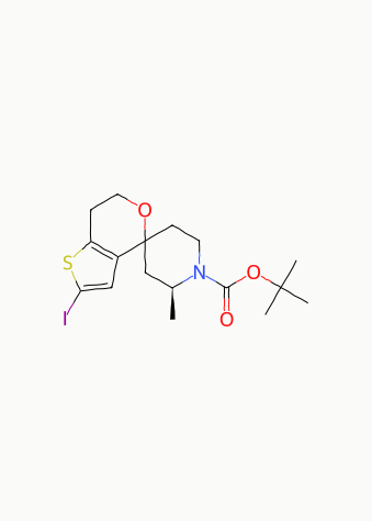 C[C@H]1CC2(CCN1C(=O)OC(C)(C)C)OCCc1sc(I)cc12